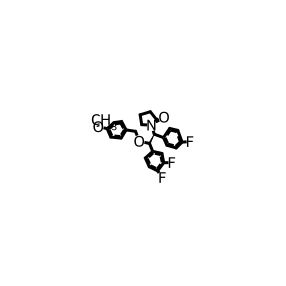 COc1ccc(COC(c2ccc(F)c(F)c2)[C@H](c2ccc(F)cc2)N2CCCC2=O)cc1